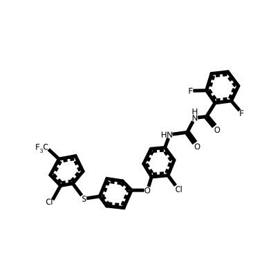 O=C(NC(=O)c1c(F)cccc1F)Nc1ccc(Oc2ccc(Sc3ccc(C(F)(F)F)cc3Cl)cc2)c(Cl)c1